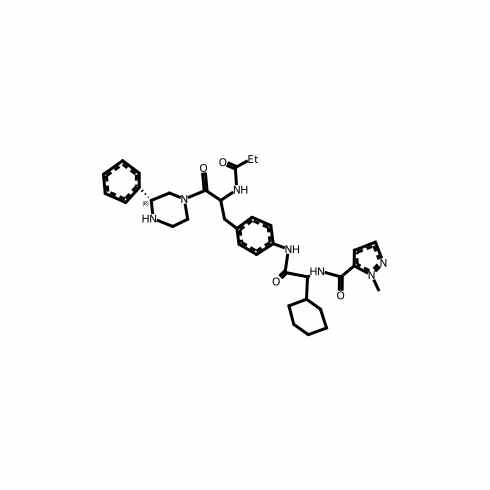 CCC(=O)NC(Cc1ccc(NC(=O)C(NC(=O)c2ccnn2C)C2CCCCC2)cc1)C(=O)N1CCN[C@H](c2ccccc2)C1